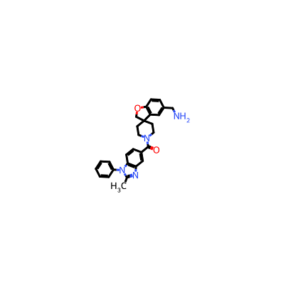 Cc1nc2cc(C(=O)N3CCC4(CC3)COc3ccc(CN)cc34)ccc2n1-c1ccccc1